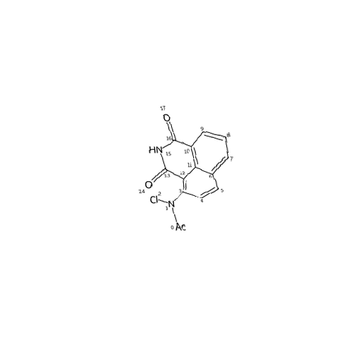 CC(=O)N(Cl)c1ccc2cccc3c2c1C(=O)NC3=O